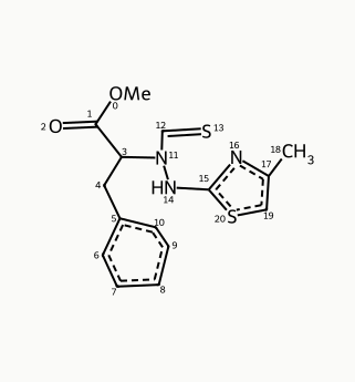 COC(=O)C(Cc1ccccc1)N(C=S)Nc1nc(C)cs1